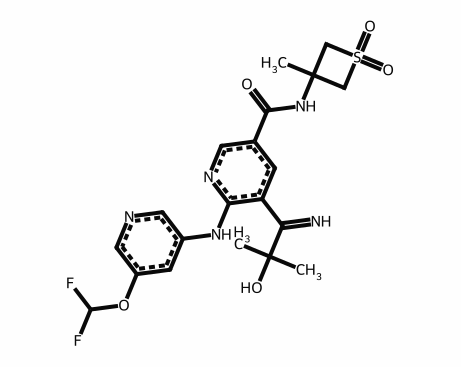 CC1(NC(=O)c2cnc(Nc3cncc(OC(F)F)c3)c(C(=N)C(C)(C)O)c2)CS(=O)(=O)C1